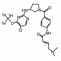 [2H]C([2H])([2H])Oc1nc(NC2CCN(C(=O)c3ccc(NC(=O)/C=C/CN(C)C)cc3)C2)ncc1Cl